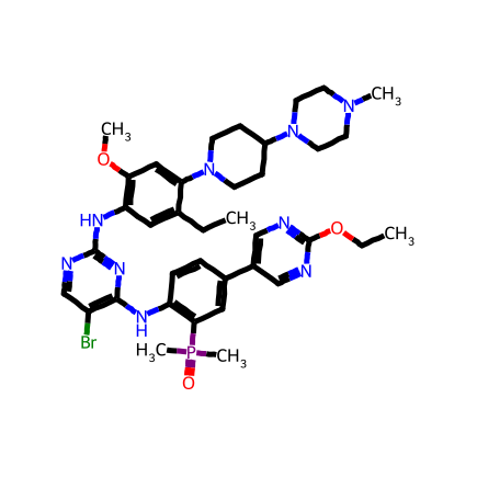 CCOc1ncc(-c2ccc(Nc3nc(Nc4cc(CC)c(N5CCC(N6CCN(C)CC6)CC5)cc4OC)ncc3Br)c(P(C)(C)=O)c2)cn1